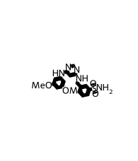 COc1cc(Nc2cc(NCc3cccc(S(N)(=O)=O)c3)ncn2)cc(OC)c1